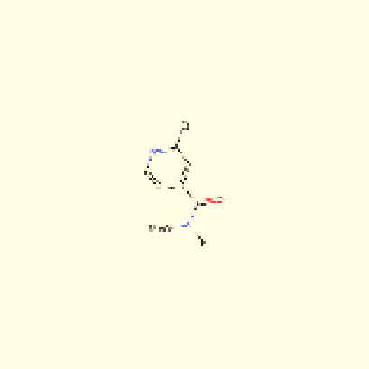 CCc1cc(C(=O)N(CC)OC)ccn1